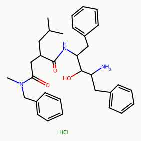 CC(C)CC(CC(=O)N(C)Cc1ccccc1)C(=O)NC(Cc1ccccc1)C(O)C(N)Cc1ccccc1.Cl